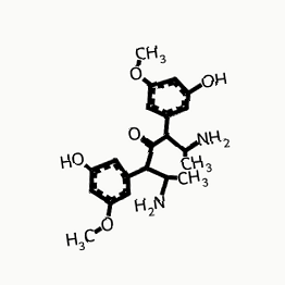 COc1cc(O)cc(C(C(=O)C(c2cc(O)cc(OC)c2)C(C)N)C(C)N)c1